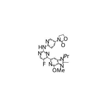 COc1nc(-c2nc(Nc3ccc(N4CCOC4=O)cn3)ncc2F)cc2c1nc(C)n2C(C)C